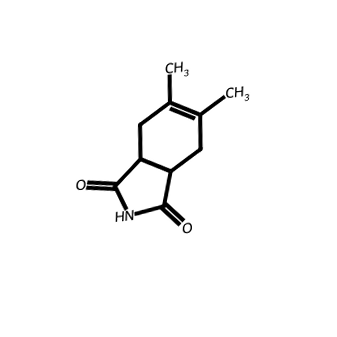 CC1=C(C)CC2C(=O)NC(=O)C2C1